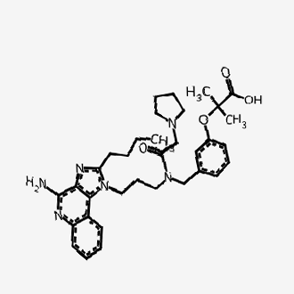 CCCCc1nc2c(N)nc3ccccc3c2n1CCCN(Cc1cccc(OC(C)(C)C(=O)O)c1)C(=O)CN1CCCC1